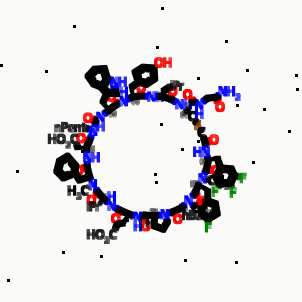 CCCCCN1C(=O)N[C@@H](Cc2c[nH]c3ccccc23)C(=O)N[C@@H](Cc2ccc(O)cc2)C(=O)N[C@@H](CC(C)C)C(=O)N[C@H](C(=O)NCC(N)=O)CSCC(=O)N[C@@H](Cc2cc(F)c(F)c(F)c2)C(=O)N(C)[C@@H](Cc2ccc(F)cc2)C(=O)N(C)[C@@H](CCCC)C(=O)N2CCC[C@@H]2C(=O)N[C@@H](CCC(=O)O)C(=O)N[C@@H](C(C)C)C(=O)N(C)C(Cc2ccccc2)C(=O)N[C@@H](CC(=O)O)C1=O